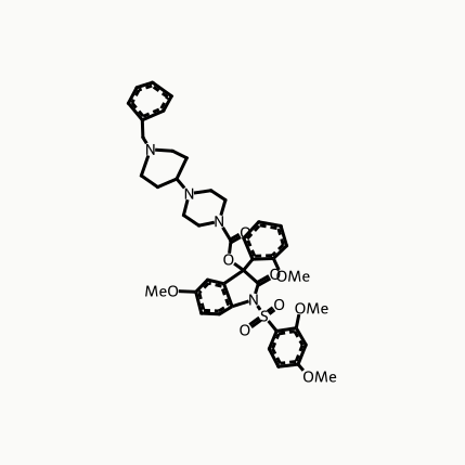 COc1ccc(S(=O)(=O)N2C(=O)C(OC(=O)N3CCN(C4CCN(Cc5ccccc5)CC4)CC3)(c3ccccc3OC)c3cc(OC)ccc32)c(OC)c1